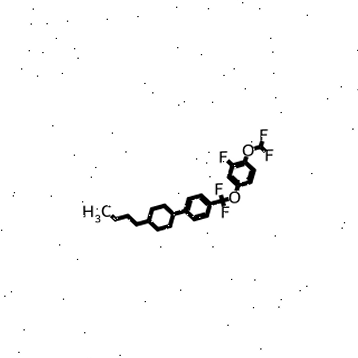 CCCCC1CCC(c2ccc(C(F)(F)Oc3ccc(OC(F)F)c(F)c3)cc2)CC1